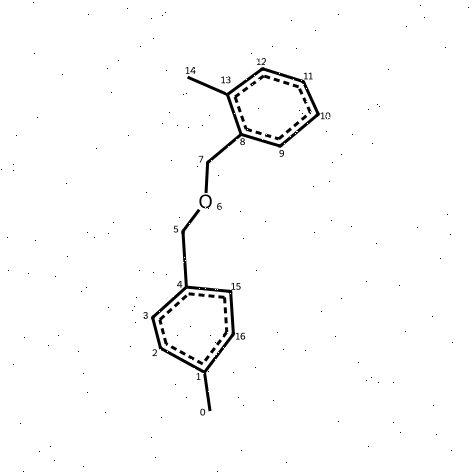 Cc1ccc(COCc2ccccc2C)cc1